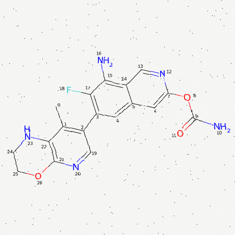 Cc1c(-c2cc3cc(OC(N)=O)ncc3c(N)c2F)cnc2c1NCCO2